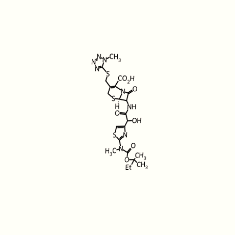 CCC(C)(C)OC(=O)N(C)c1nc(C(O)C(=O)NC2C(=O)N3C(C(=O)O)=C(CSc4nnnn4C)CS[C@H]23)cs1